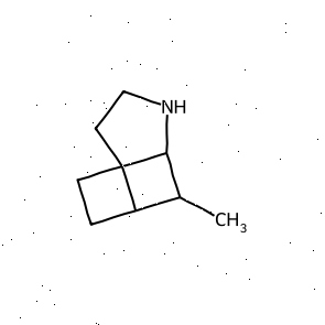 CC1C2CCC23CCNC13